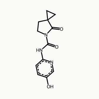 O=C(Nc1ccc(O)cn1)N1CCC2(CC2)C1=O